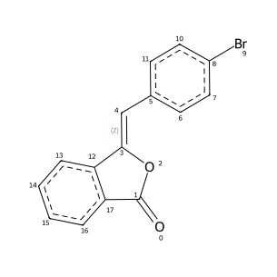 O=C1O/C(=C\c2ccc(Br)cc2)c2ccccc21